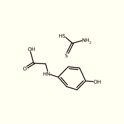 NC(=S)S.O=C(O)CNc1ccc(O)cc1